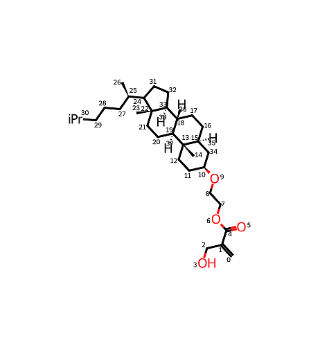 C=C(CO)C(=O)OCCO[C@H]1CC[C@@]2(C)[C@@H](CC[C@@H]3[C@@H]2CC[C@]2(C)C([C@H](C)CCCC(C)C)CC[C@@H]32)C1